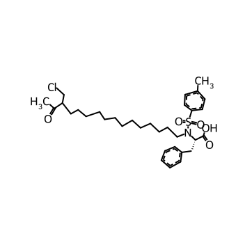 CC(=O)C(CCl)CCCCCCCCCCCCCN([C@@H](Cc1ccccc1)C(=O)O)S(=O)(=O)c1ccc(C)cc1